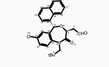 CC(C)(C)CN1C(=O)[C@H](C[C]=O)O[C@@H](c2cccc3ccccc23)c2cc(Cl)ccc21